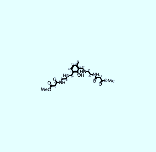 COC(=O)CC(=O)NCCNCc1ccc(C)c(CNCCNC(=O)CC(=O)OC)c1O